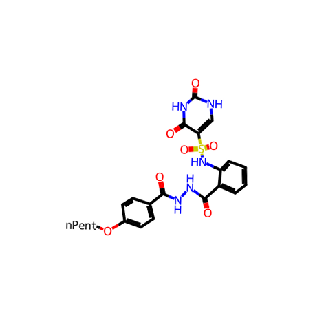 CCCCCOc1ccc(C(=O)NNC(=O)c2ccccc2NS(=O)(=O)c2c[nH]c(=O)[nH]c2=O)cc1